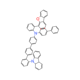 C1=CC2c3ccccc3N(c3ccccc3-c3ccc(-c4ccc(N(c5ccc(-c6ccccc6)cc5)c5ccccc5-c5cccc6c5oc5ccccc56)cc4)cc3)C2C=C1